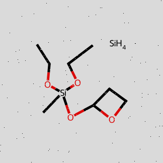 CCO[Si](C)(OCC)OC1CCO1.[SiH4]